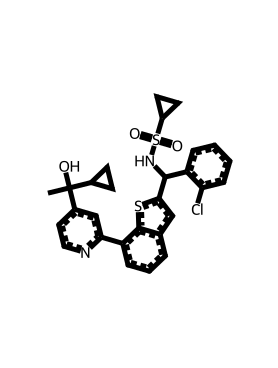 CC(O)(c1ccnc(-c2cccc3cc(C(NS(=O)(=O)C4CC4)c4ccccc4Cl)sc23)c1)C1CC1